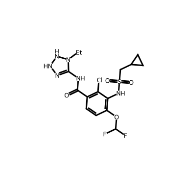 CCN1NNN=C1NC(=O)c1ccc(OC(F)F)c(NS(=O)(=O)CC2CC2)c1Cl